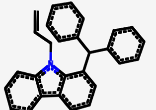 C=CCn1c2ccccc2c2cccc(C(c3ccccc3)c3ccccc3)c21